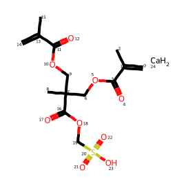 C=C(C)C(=O)OCC(C)(COC(=O)C(=C)C)C(=O)OCS(=O)(=O)O.[CaH2]